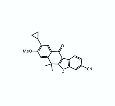 COc1cc2c(cc1C1CC1)C(=O)c1c([nH]c3cc(C#N)ccc13)C2(C)C